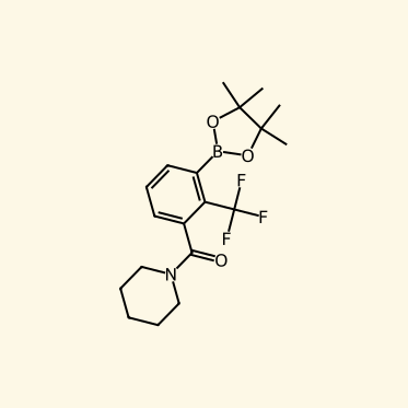 CC1(C)OB(c2cccc(C(=O)N3CCCCC3)c2C(F)(F)F)OC1(C)C